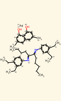 CCCCCC(=Nc1ccc(CC)c(CC)c1)C(CCCC)=Nc1ccc(CC)c(CC)c1.Cc1cc(O)c2c(O)cc(C)cc2c1.[Pd]